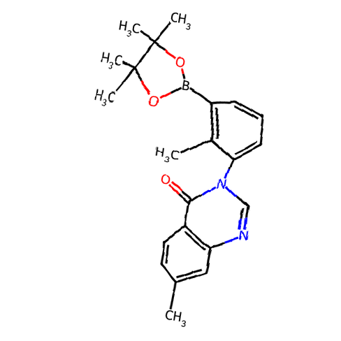 Cc1ccc2c(=O)n(-c3cccc(B4OC(C)(C)C(C)(C)O4)c3C)cnc2c1